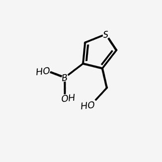 OCc1cscc1B(O)O